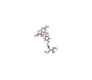 CCN(C)C(C)C#CCOc1ccc(S(=O)(=O)N2CC(O)CCC2C(=O)NO)cc1